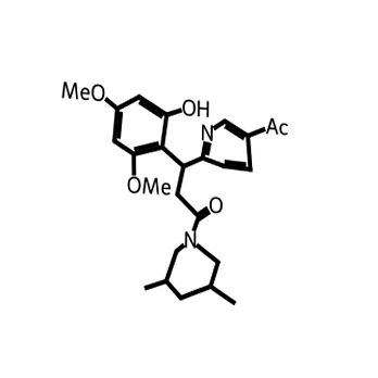 COc1cc(O)c(C(CC(=O)N2CC(C)CC(C)C2)c2ccc(C(C)=O)cn2)c(OC)c1